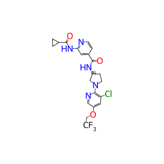 O=C(N[C@@H]1CCN(c2ncc(OCC(F)(F)F)cc2Cl)C1)c1ccnc(NC(=O)C2CC2)c1